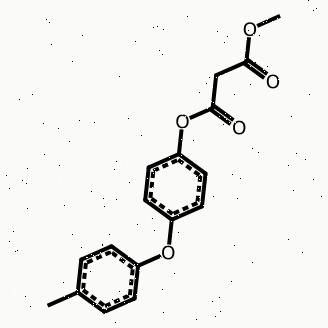 COC(=O)CC(=O)Oc1ccc(Oc2ccc(C)cc2)cc1